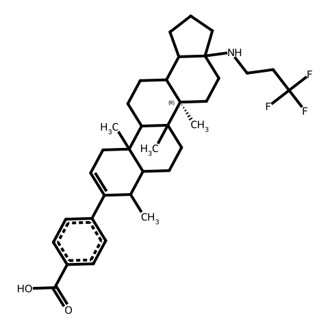 CC1C(c2ccc(C(=O)O)cc2)=CCC2(C)C1CCC1(C)C2CCC2C3CCCC3(NCCC(F)(F)F)CC[C@]21C